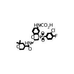 CC1(C)CC(C(=O)NC[C@H]2CN(S(=O)(=O)c3ccc(F)c(Cl)c3)c3cc(NC(=O)O)ccc3O2)CCO1